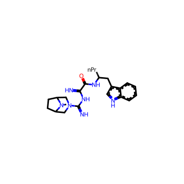 CCCC(Cc1c[nH]c2ccccc12)NC(=O)C(=N)NC(=N)N1CC2CCC(C1)N2C